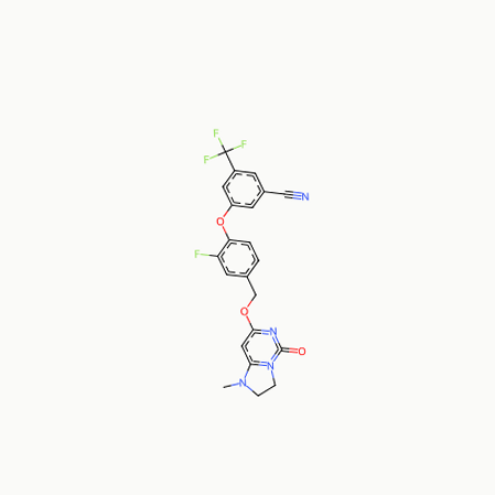 CN1CCn2c1cc(OCc1ccc(Oc3cc(C#N)cc(C(F)(F)F)c3)c(F)c1)nc2=O